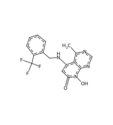 Cc1ncnc2c1c(NCc1ccccc1C(F)(F)F)cc(=O)n2O